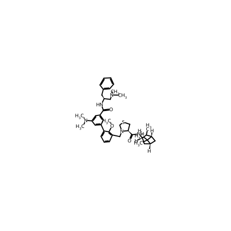 COc1c(CN2CSC[C@H]2C(=O)N[C@H]2C[C@H]3C[C@@H]([C@@H]2C)C3(C)C)cccc1-c1cc(C(=O)N[C@@H](Cc2ccccc2)CN(C)C)cc(N(C)C)c1